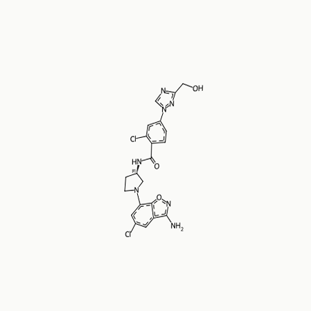 Nc1noc2c(N3CC[C@@H](NC(=O)c4ccc(-n5cnc(CO)n5)cc4Cl)C3)cc(Cl)cc12